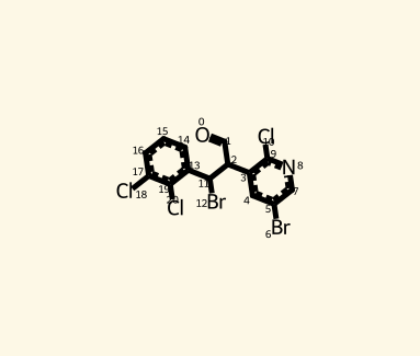 O=CC(c1cc(Br)cnc1Cl)C(Br)c1cccc(Cl)c1Cl